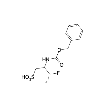 [CH2][C@@H](F)C(CS(=O)(=O)O)NC(=O)OCc1ccccc1